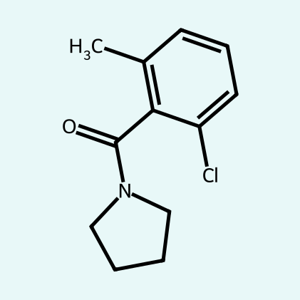 Cc1cccc(Cl)c1C(=O)N1CCCC1